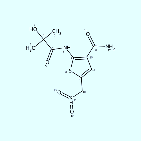 CC(C)(O)C(=O)Nc1sc(C[SH](=O)=O)cc1C(N)=O